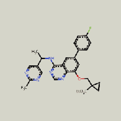 CCOC(=O)C1(COc2cc(-c3ccc(F)cc3)cc3c(NC(C)c4cnc(C(F)(F)F)nc4)ncnc23)CC1